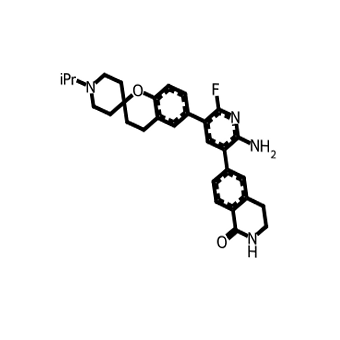 CC(C)N1CCC2(CCc3cc(-c4cc(-c5ccc6c(c5)CCNC6=O)c(N)nc4F)ccc3O2)CC1